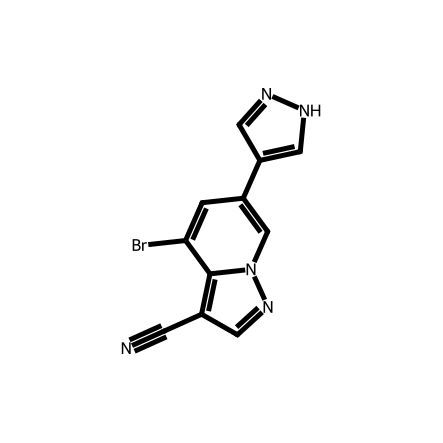 N#Cc1cnn2cc(-c3cn[nH]c3)cc(Br)c12